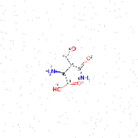 NC(=O)C(C=O)[C@H](N)C(=O)O